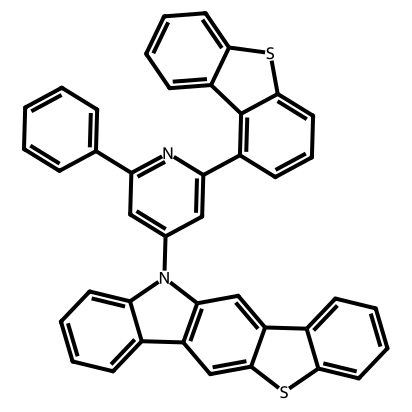 c1ccc(-c2cc(-n3c4ccccc4c4cc5sc6ccccc6c5cc43)cc(-c3cccc4sc5ccccc5c34)n2)cc1